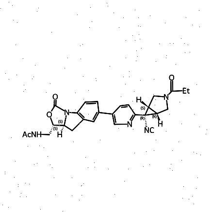 [C-]#[N+][C@]1(c2ccc(-c3ccc4c(c3)C[C@H]3[C@H](CNC(C)=O)OC(=O)N43)cn2)[C@@H]2CN(C(=O)CC)C[C@@H]21